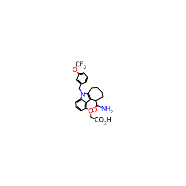 NC(=O)C1CCCCc2c1c1c(OCC(=O)O)cccc1n2Cc1cccc(OC(F)(F)F)c1